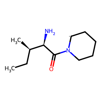 CC[C@@H](C)[C@@H](N)C(=O)N1[CH]CCCC1